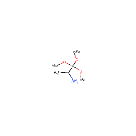 CCCCO[Si](OCCCC)(OCCCC)C(C)N